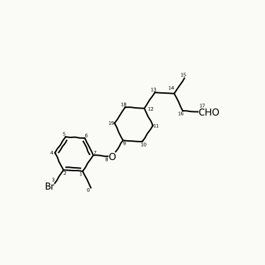 Cc1c(Br)cccc1OC1CCC(CC(C)CC=O)CC1